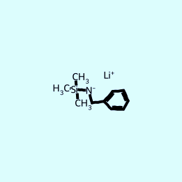 C[Si](C)(C)[N-]Cc1ccccc1.[Li+]